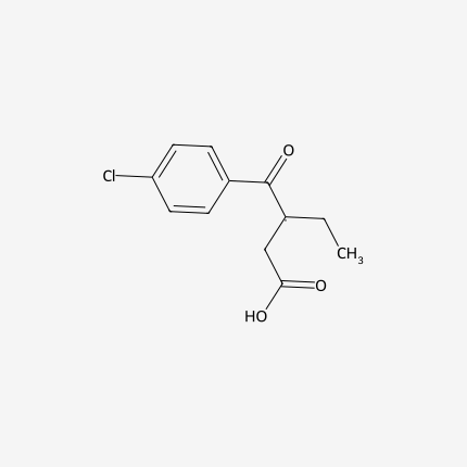 CC[C](CC(=O)O)C(=O)c1ccc(Cl)cc1